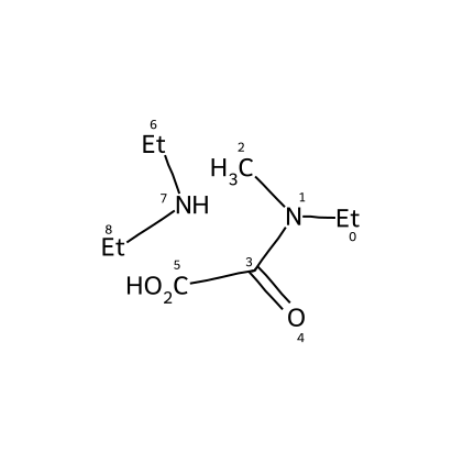 CCN(C)C(=O)C(=O)O.CCNCC